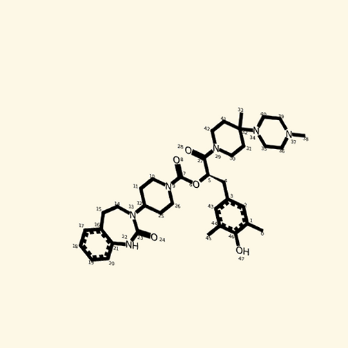 Cc1cc(C[C@@H](OC(=O)N2CCC(N3CCc4ccccc4NC3=O)CC2)C(=O)N2CCC(C)(N3CCN(C)CC3)CC2)cc(C)c1O